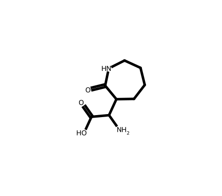 NC(C(=O)O)C1CCCCNC1=O